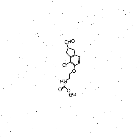 CC(C)(C)OC(=O)NCCOc1ccc2c(c1Cl)CC(C=O)C2